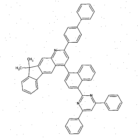 CC1(C)c2ccccc2-c2cc3c(-c4ccc(-c5nc(-c6ccccc6)cc(-c6ccccc6)n5)c5ccccc45)cc(-c4ccc(-c5ccccc5)cc4)nc3cc21